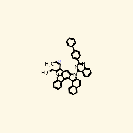 C=Cc1c(/C=C\C)c2cc3c(c4c5ccccc5ccc4n3-c3nc(-c4ccc(-c5ccccc5)cc4)nc4ccccc34)c3c4ccccc4n1c23